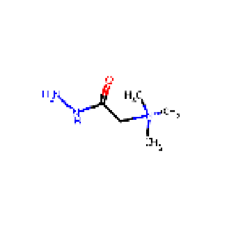 C[N+](C)(C)CC(=O)NN